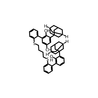 Cc1cc(-c2ccccc2SCCCCSc2ccccc2-c2cccc(C34CC5C[C@H](C3)C[C@@H](C5)C4)c2O)c(O)c(C23CC4C[C@H](C2)C[C@@H](C4)C3)c1